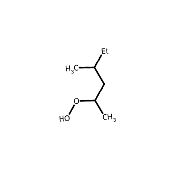 CCC(C)CC(C)OO